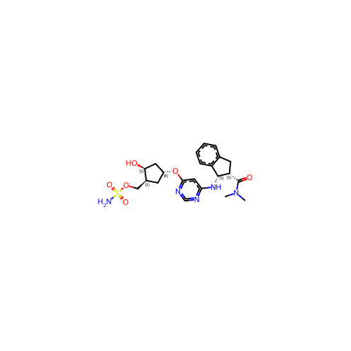 CN(C)C(=O)[C@H]1Cc2ccccc2[C@H]1Nc1cc(O[C@@H]2C[C@@H](COS(N)(=O)=O)[C@@H](O)C2)ncn1